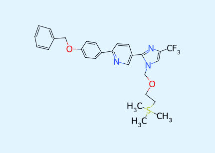 CS(C)(C)CCOCn1cc(C(F)(F)F)nc1-c1ccc(-c2ccc(OCc3ccccc3)cc2)nc1